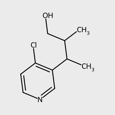 CC(CO)C(C)c1cnccc1Cl